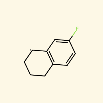 Fc1ccc2c(c1)[C]CCC2